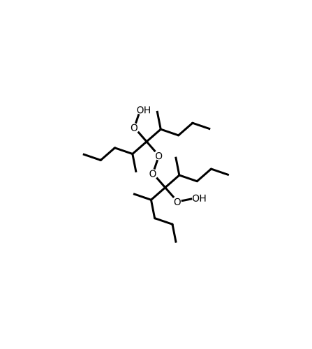 CCCC(C)C(OO)(OOC(OO)(C(C)CCC)C(C)CCC)C(C)CCC